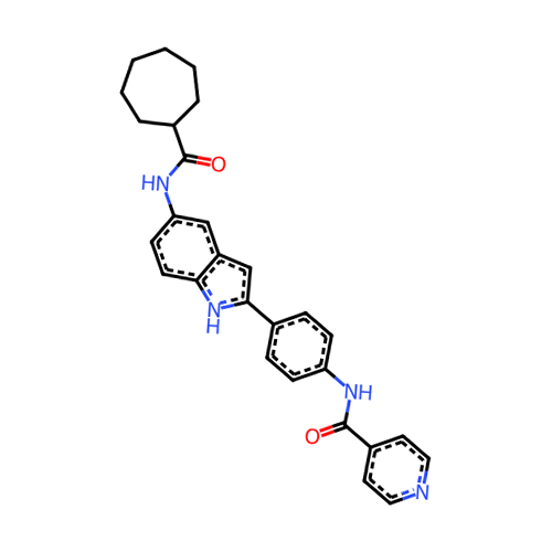 O=C(Nc1ccc(-c2cc3cc(NC(=O)C4CCCCCC4)ccc3[nH]2)cc1)c1ccncc1